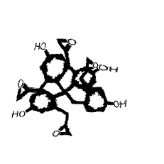 Oc1ccc(CC(c2ccc(O)cc2CC2CO2)(c2ccc(O)cc2CC2CO2)c2ccc(O)cc2CC2CO2)c(CC2CO2)c1